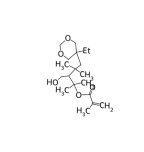 C=C(C)C(=O)OC(C)(C)C(CO)C(C)(C)CC1(CC)COCOC1